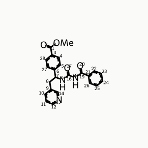 COC(=O)c1ccc(C(Cc2cccnc2)NC(=O)NC(=O)c2ccccc2)cc1